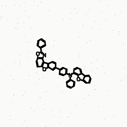 c1ccc(-c2nc3c(ccc4oc5cc(-c6ccc(N(c7ccccc7)c7cccc8c7oc7ccccc78)cc6)ccc5c43)o2)cc1